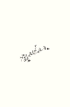 C/C(=C(\CCOC(=O)CCCC(=O)O)SSCCC(C)C)N(C=O)CC(=O)OCC1OC(O)C(O)C(O)C1O